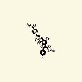 CCc1cc2c(C(=O)NC)c(-c3ccc(F)cc3)oc2nc1CN(CCN1CCN(C(=O)OC(C)(C)C)CC1)[SH](=O)=O